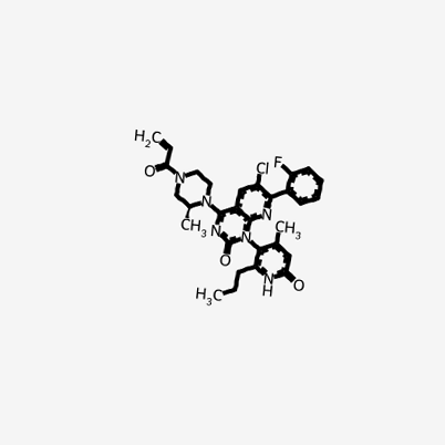 C=CC(=O)N1CCN(c2nc(=O)n(-c3c(C)cc(=O)[nH]c3CCC)c3nc(-c4ccccc4F)c(Cl)cc23)[C@@H](C)C1